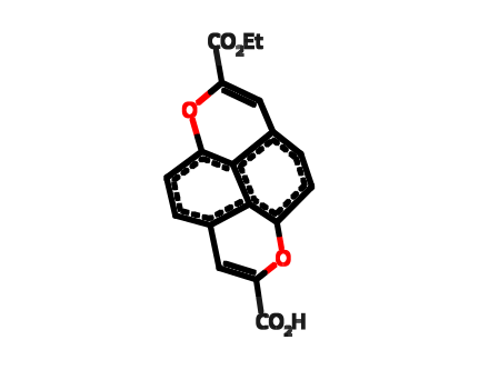 CCOC(=O)C1=Cc2ccc3c4c(ccc(c24)O1)C=C(C(=O)O)O3